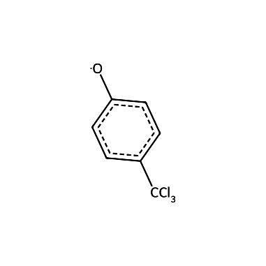 [O]c1ccc(C(Cl)(Cl)Cl)cc1